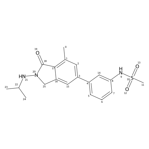 Cc1cc(-c2cccc(NS(C)(=O)=O)c2)cc2c1C(=O)N(NC(C)C)C2